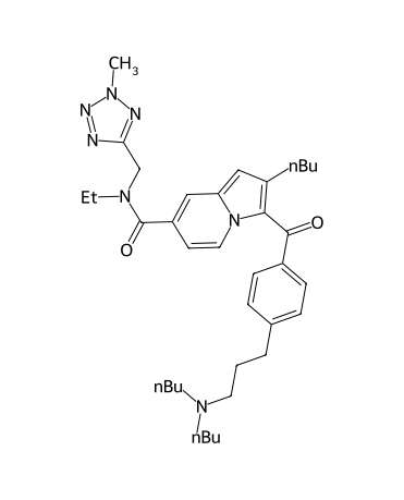 CCCCc1cc2cc(C(=O)N(CC)Cc3nnn(C)n3)ccn2c1C(=O)c1ccc(CCCN(CCCC)CCCC)cc1